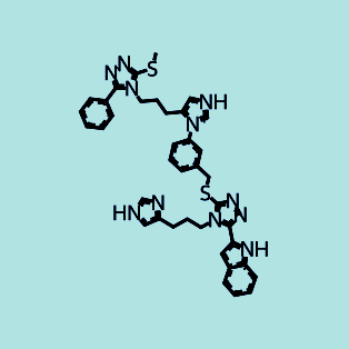 CSc1nnc(-c2ccccc2)n1CCCc1c[nH]c[n+]1-c1cccc(CSc2nnc(-c3cc4ccccc4[nH]3)n2CCCc2c[nH]cn2)c1